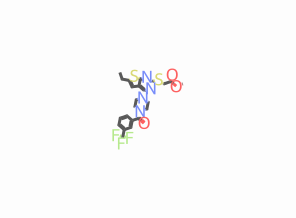 CCc1cc2c(N3CCN(C(=O)c4cccc(C(F)(F)F)c4)CC3)nc(SCC(=O)OC)nc2s1